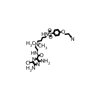 C[N+](C)(CCCCNS(=O)(=O)c1ccc(OCCC#N)cc1)CCNC(=O)c1nc(Cl)c(N)nc1N